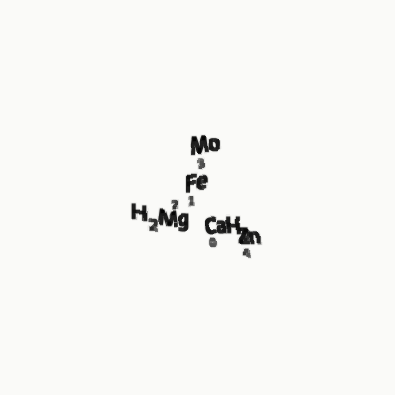 [CaH2].[Fe].[MgH2].[Mo].[Zn]